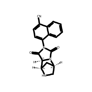 N#Cc1ccc(N2C(=O)[C@@H]3[C@H]4C[C@H](CN4)N3C2=O)c2ccccc12